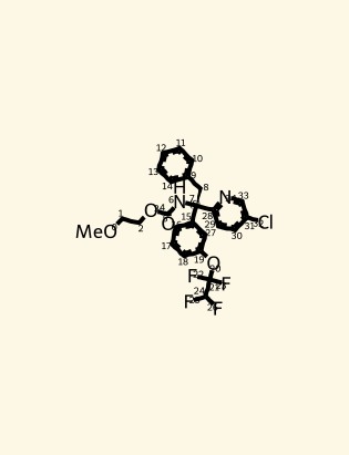 COCCOC(=O)N[C@@](Cc1ccccc1)(c1cccc(OC(F)(F)C(F)F)c1)c1ccc(Cl)cn1